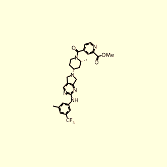 COC(=O)c1cc(C(=O)N2CC[C@@H](N3Cc4cnc(Nc5cc(C)cc(C(F)(F)F)c5)nc4C3)C[C@H]2C)ccn1